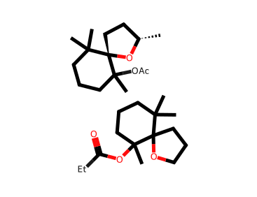 CC(=O)OC1(C)CCCC(C)(C)[C@@]12CC[C@H](C)O2.CCC(=O)OC1(C)CCCC(C)(C)C12CCCO2